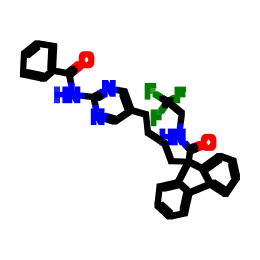 O=C(Nc1ncc(CCCCC2(C(=O)NCC(F)(F)F)c3ccccc3-c3ccccc32)cn1)c1ccccc1